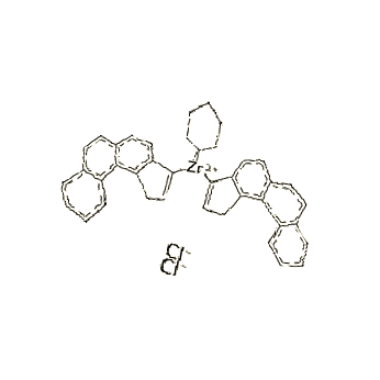 C1=[C]([Zr+2]([C]2=CCc3c2ccc2ccc4ccccc4c32)=[C]2CCCCC2)c2ccc3ccc4ccccc4c3c2C1.[Cl-].[Cl-]